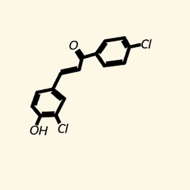 O=C(/C=C/c1ccc(O)c(Cl)c1)c1ccc(Cl)cc1